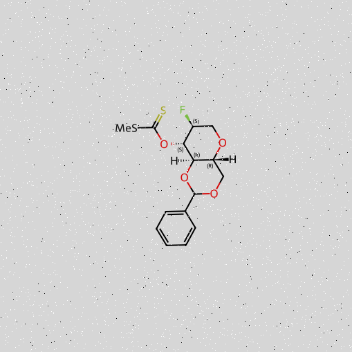 CSC(=S)O[C@H]1[C@@H]2OC(c3ccccc3)OC[C@H]2OC[C@@H]1F